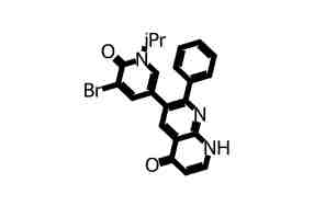 CC(C)n1cc(-c2cc3c(=O)cc[nH]c3nc2-c2ccccc2)cc(Br)c1=O